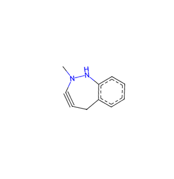 CN1C#CCc2ccccc2N1